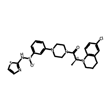 C[C@@H](C(=O)N1CCN(c2cccc([S+]([O-])Nc3nccs3)c2)CC1)N1CCCc2cc(Cl)ccc21